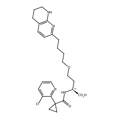 O=C(O)[C@H](CCOCCCCc1ccc2c(n1)NCCC2)NC(=O)C1(c2ncccc2Cl)CC1